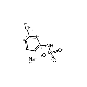 O=S(=O)([O-])Nc1cccc(C(F)(F)F)c1.[Na+]